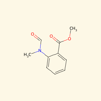 COC(=O)c1ccccc1N(C)C=O